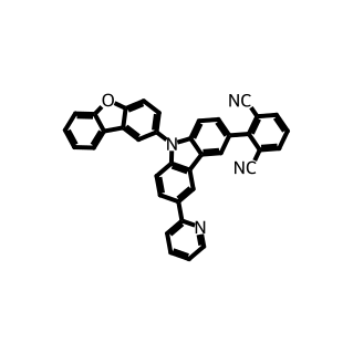 N#Cc1cccc(C#N)c1-c1ccc2c(c1)c1cc(-c3ccccn3)ccc1n2-c1ccc2oc3ccccc3c2c1